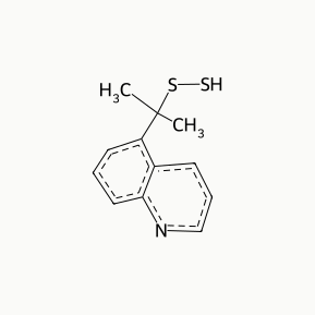 CC(C)(SS)c1cccc2ncccc12